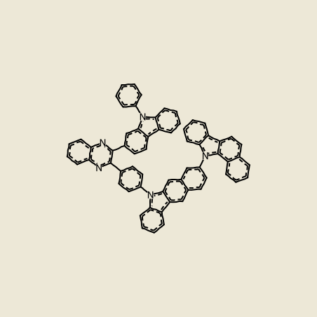 c1ccc(-n2c3ccccc3c3ccc(-c4nc5ccccc5nc4-c4ccc(-n5c6ccccc6c6cc7ccc(-n8c9ccccc9c9ccc%10ccccc%10c98)cc7cc65)cc4)cc32)cc1